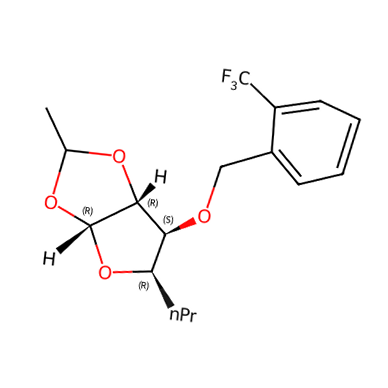 CCC[C@H]1O[C@@H]2OC(C)O[C@@H]2[C@H]1OCc1ccccc1C(F)(F)F